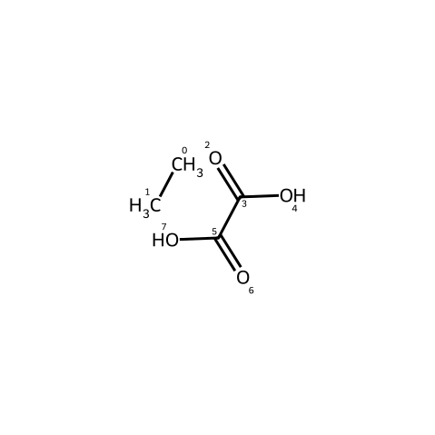 CC.O=C(O)C(=O)O